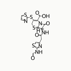 O=CNc1nc(CC(=O)N[C@@H]2C(=O)N3C(C(=O)O)=C(Sc4nccs4)CS[C@@H]23)cs1